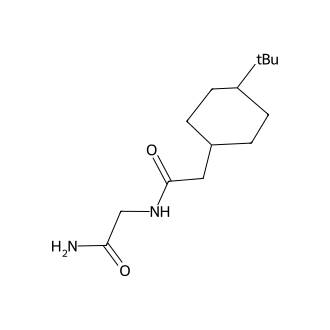 CC(C)(C)C1CCC(CC(=O)NCC(N)=O)CC1